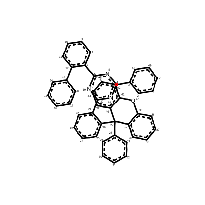 c1ccc(-c2nc(-c3ccccc3-c3ccccc3)nc(-c3ccccc3C3(c4ccccc4)c4ccccc4Oc4ccccc43)n2)cc1